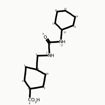 O=C(NCC1CCC(C(=O)O)CC1)NC1CCCCC1